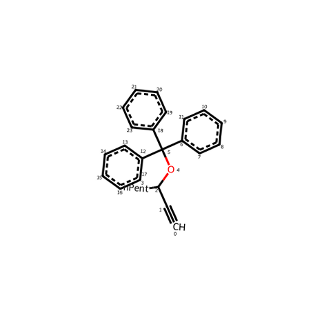 C#CC(CCCCC)OC(c1ccccc1)(c1ccccc1)c1ccccc1